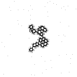 c1ccc(-c2ccc3ccc(-c4ccc5ccc6ccc7cc(-c8ccc9c(c8)cc(-c8ccc%10oc%11ccccc%11c%10c8)c8ccc%10ccc%11ccccc%11c%10c89)c8ccccc8c7c6c5c4)cc3c2)cc1